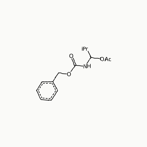 CC(=O)OC(NC(=O)OCc1ccccc1)C(C)C